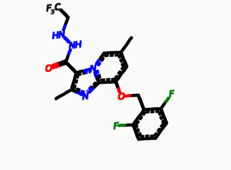 Cc1cc(OCc2c(F)cccc2F)c2nc(C)c(C(=O)NNCC(F)(F)F)n2c1